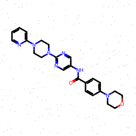 O=C(Nc1cnc(N2CCN(c3ccccn3)CC2)nc1)c1ccc(N2CCOCC2)cc1